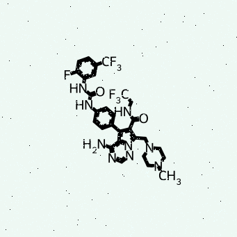 CN1CCN(Cc2c(C(=O)NCC(F)(F)F)c(-c3ccc(NC(=O)Nc4cc(C(F)(F)F)ccc4F)cc3)c3c(N)ncnn23)CC1